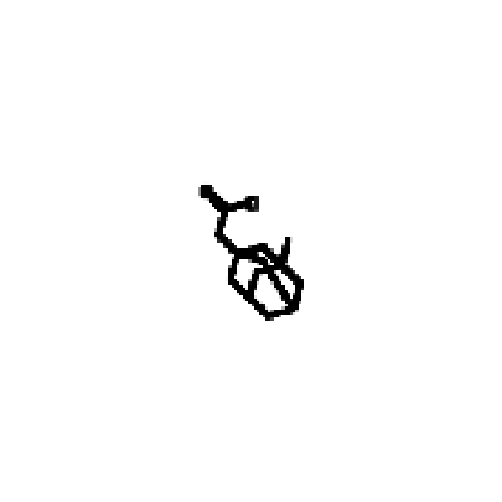 CC12CC3CC(C1)CC(CC(=O)Cl)(C3)C2